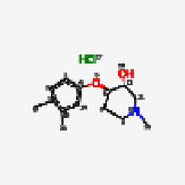 Cc1ccc(O[C@@H]2CCN(C)C[C@H]2O)cc1C.Cl